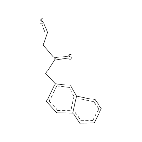 S=CCC(=S)Cc1ccc2ccccc2c1